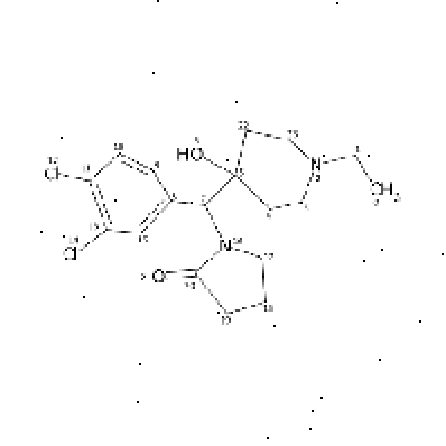 CCN1CCC(O)(C(c2ccc(Cl)c(Cl)c2)N2CCCC2=O)CC1